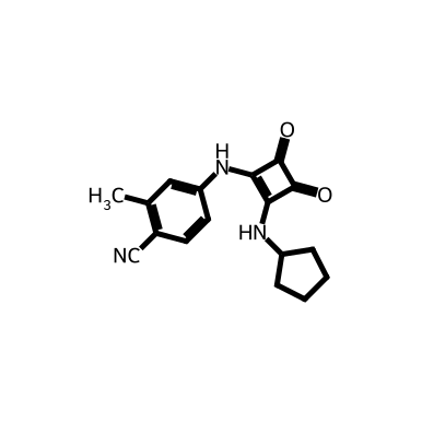 Cc1cc(Nc2c(NC3CCCC3)c(=O)c2=O)ccc1C#N